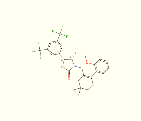 COc1ccccc1C1=C(CN2C(=O)O[C@H](c3cc(C(F)(F)F)cc(C(F)(F)F)c3)[C@@H]2C)CC2(CC1)CC2